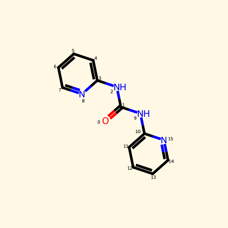 O=C(Nc1ccccn1)Nc1ccccn1